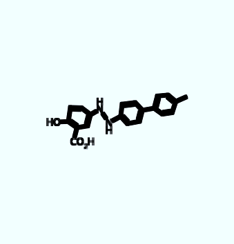 Cc1ccc(-c2ccc(NNc3ccc(O)c(C(=O)O)c3)cc2)cc1